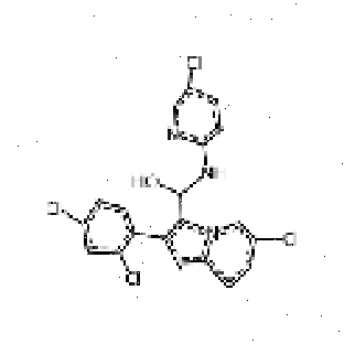 OC(Nc1ccc(Cl)cn1)c1c(-c2ccc(Cl)cc2Cl)nc2ccc(Cl)cn12